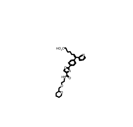 O=C(O)CCCC/C=C(\c1ccc(-c2nc(C(=O)NCCOCC3CCCCO3)co2)cc1)c1cccnc1